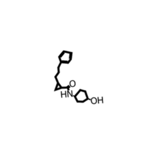 O=C(N[C@H]1CC[C@H](O)CC1)C1CC1CCCc1ccccc1